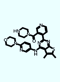 Cc1sc2nc(-c3ccncc3C(=O)N3CCNCC3)nc(Nc3ccc(N4CCOCC4)nc3)c2c1C